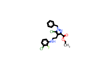 CCOC(=O)c1nn(Cc2ccccc2)c(Cl)c1CCNc1cccc(Cl)c1F